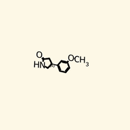 COc1cccc([C@H]2CNC(=O)C2)c1